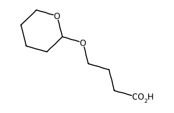 O=C(O)CCCOC1CCCCO1